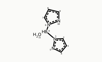 B(n1cccn1)n1cccn1.O